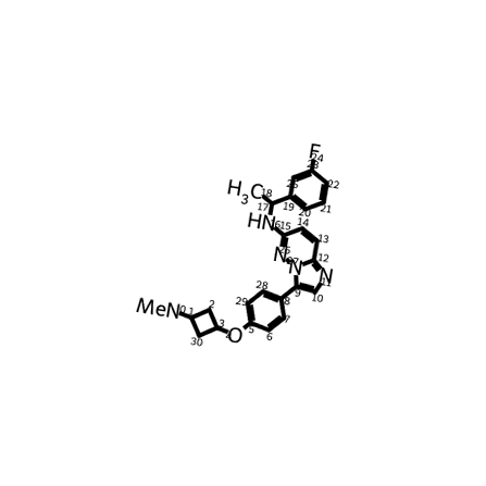 CNC1CC(Oc2ccc(-c3cnc4ccc(NC(C)c5cccc(F)c5)nn34)cc2)C1